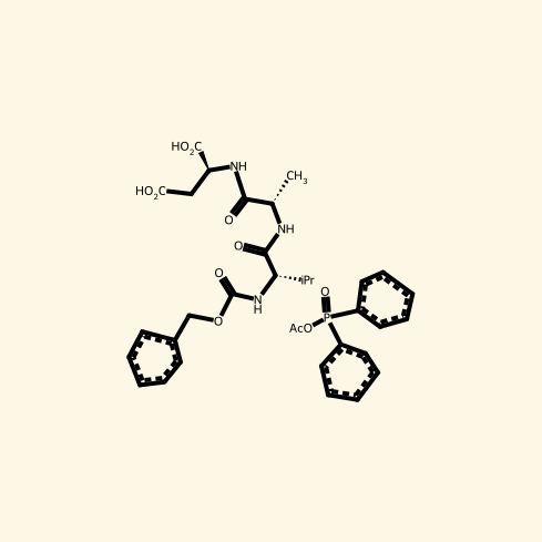 CC(=O)OP(=O)(c1ccccc1)c1ccccc1.CC(C)[C@H](NC(=O)OCc1ccccc1)C(=O)N[C@@H](C)C(=O)N[C@@H](CC(=O)O)C(=O)O